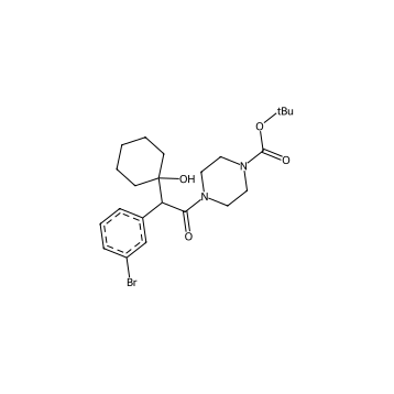 CC(C)(C)OC(=O)N1CCN(C(=O)C(c2cccc(Br)c2)C2(O)CCCCC2)CC1